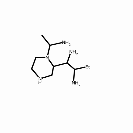 CCC(N)C(N)C1CNCCN1C(C)N